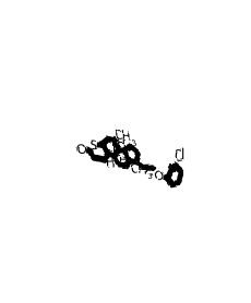 CC1CC2SC(=O)C=C[C@]2(C)[C@@H]2CC[C@]3(C)C(CCOc4cccc(Cl)c4)CC[C@H]3[C@H]12